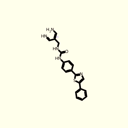 N=C/C(=C\N)CNC(=O)Nc1ccc(-c2ncc(-c3ccccc3)s2)cc1